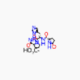 CC(=O)O.NC(=O)[C@@H]1CCCN1C(=O)[C@H](Cc1cnc[nH]1)NC(=O)[C@@H]1CCC(=O)N1